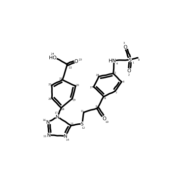 CS(=O)(=O)Nc1ccc(C(=O)CSc2nnnn2-c2ccc(C(=O)O)cc2)cc1